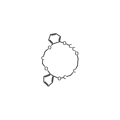 c1ccc2c(c1)OCCCCCOCCOc1ccccc1OCCCO2